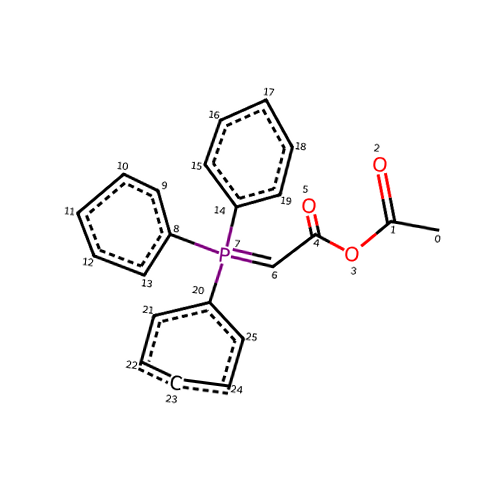 CC(=O)OC(=O)C=P(c1ccccc1)(c1ccccc1)c1ccccc1